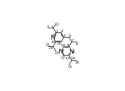 CC(C)c1cc(CC(C)c2cncc(C(C)C)n2)cc(C(C)C)n1